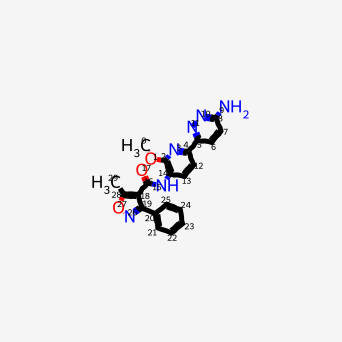 COc1nc(-c2ccc(N)nn2)ccc1NC(=O)c1c(-c2ccccc2)noc1C